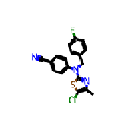 Cc1nc(N(Cc2ccc(F)cc2)c2ccc(C#N)cc2)sc1Cl